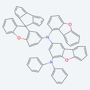 c1ccc(N(c2ccccc2)c2cc(N(c3ccc4c(c3)C3(c5ccccc5O4)c4ccccc4-c4ccccc43)c3cccc4oc5ccccc5c34)cc3c2oc2ccccc23)cc1